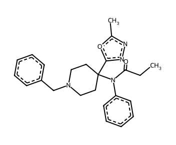 CCC(=O)N(c1ccccc1)C1(c2nnc(C)o2)CCN(Cc2ccccc2)CC1